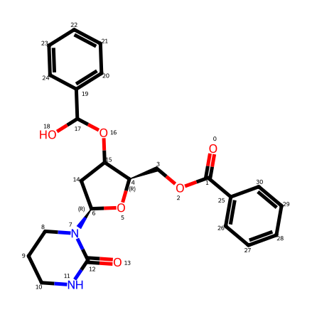 O=C(OC[C@H]1O[C@@H](N2CCCNC2=O)CC1OC(O)c1ccccc1)c1ccccc1